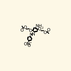 CC(=O)OCCOc1cc(/N=N/c2ccc([N+](=O)[O-])cc2)c(OCCOC(C)=O)cc1N